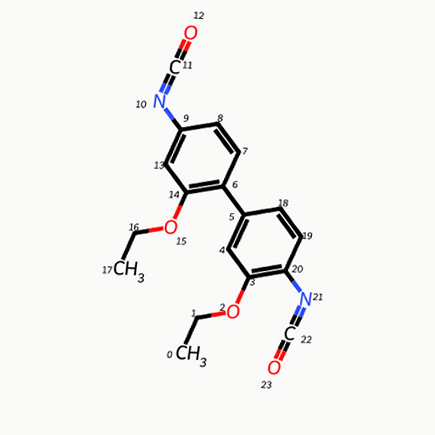 CCOc1cc(-c2ccc(N=C=O)cc2OCC)ccc1N=C=O